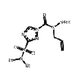 C=CCN(CCCCCC)C(=O)n1cnc(S(=O)(=O)N(CC)CC)n1